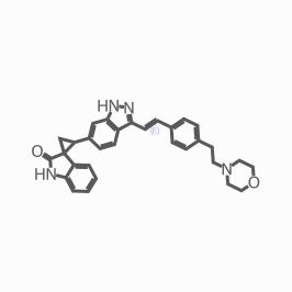 O=C1Nc2ccccc2C12CC2c1ccc2c(/C=C/c3ccc(CCN4CCOCC4)cc3)n[nH]c2c1